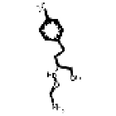 NCOB[C@@H](CO)CCc1ccc(C(F)(F)F)cc1